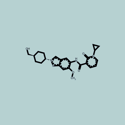 COc1cc2nn([C@H]3CC[C@H](CO)CC3)cc2cc1NC(=O)c1cccn(C2CC2)c1=O